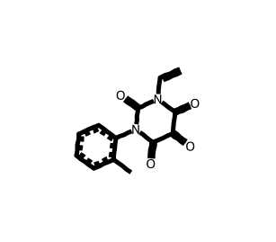 C=CN1C(=O)C(=O)C(=O)N(c2ccccc2C)C1=O